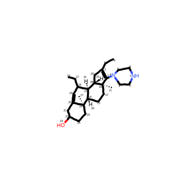 CCC1=C(N2CCNCC2)[C@@]2(C)CC[C@@H]3[C@@H](C(CC)C=C4CC(O)CC[C@@]43C)[C@@H]2C1